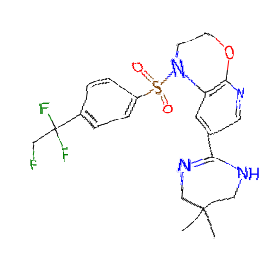 CC1(C)CN=C(c2cnc3c(c2)N(S(=O)(=O)c2ccc(C(F)(F)CF)cc2)CCO3)NC1